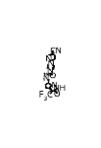 C[C@@H](C(=O)N1CCN(c2ccc(C#N)cn2)CC1)N(C)CC1CCc2c1n[nH]c(=O)c2C(F)(F)F